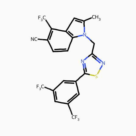 Cc1cc2c(C(F)(F)F)c(C#N)ccc2n1Cc1nsc(-c2cc(C(F)(F)F)cc(C(F)(F)F)c2)n1